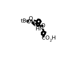 CC(C)(C)OC(=O)N1CCn2cc(C(=O)NCc3ccc(C(=O)O)cc3)c3cccc(c32)C1